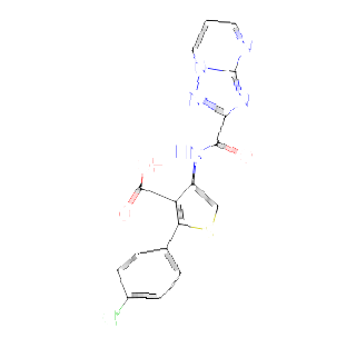 O=C(Nc1csc(-c2ccc(Cl)cc2)c1C(=O)O)c1nc2ncccn2n1